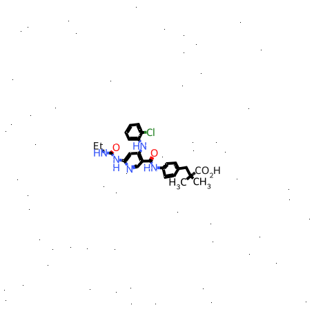 CCNC(=O)Nc1cc(Nc2ccccc2Cl)c(C(=O)Nc2ccc(CC(C)(C)C(=O)O)cc2)cn1